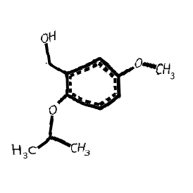 COc1ccc(OC(C)C)c([CH]O)c1